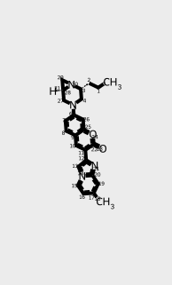 CCC[C@@H]1CN(c2ccc3cc(-c4cn5ccc(C)cc5n4)c(=O)oc3c2)C[C@H]2CN12